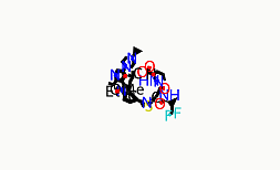 CCn1c(-c2cc(N3CCN(C4CC4)CC3)cnc2[C@H](C)OC)c2c3cc(ccc31)-c1csc(n1)C[C@H](NC(=O)[C@H]1CC1C(F)F)C(=O)N1CCC[C@H](N1)C(=O)OCC(C)(C)C2